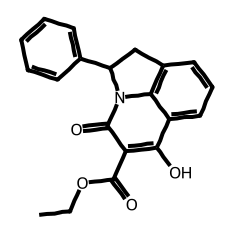 CCOC(=O)c1c(O)c2cccc3c2n(c1=O)C(c1ccccc1)C3